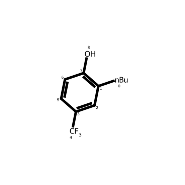 CCCCc1cc(C(F)(F)F)ccc1O